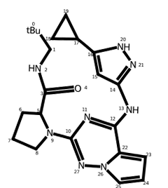 CC(C)(C)CNC(=O)C1CCCN1c1nc(Nc2cc(C3CC3)[nH]n2)c2cccn2n1